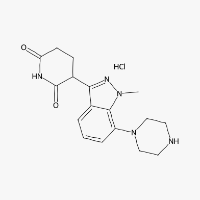 Cl.Cn1nc(C2CCC(=O)NC2=O)c2cccc(N3CCNCC3)c21